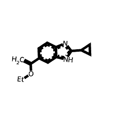 C=C(OCC)c1ccc2nc(C3CC3)[nH]c2c1